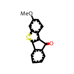 COc1ccc2c3c(sc2c1)-c1ccccc1C3=O